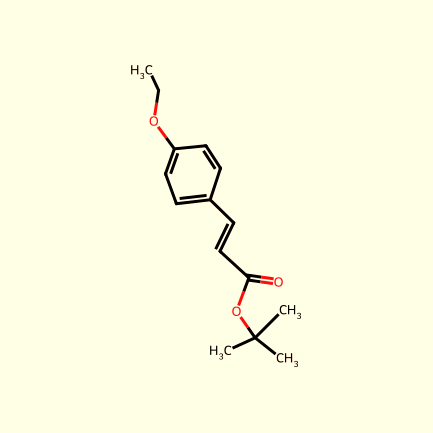 CCOc1ccc(C=CC(=O)OC(C)(C)C)cc1